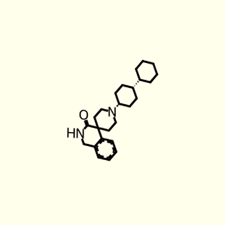 O=C1NCc2ccccc2C12CCN([C@H]1CC[C@@H](C3CCCCC3)CC1)CC2